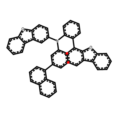 c1cc(-c2cccc3ccccc23)cc(N(c2ccc3oc4ccccc4c3c2)c2ccccc2-c2cccc3c2oc2ccccc23)c1